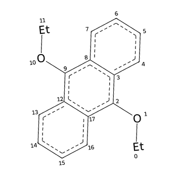 CCOc1c2ccccc2c(OCC)c2ccccc12